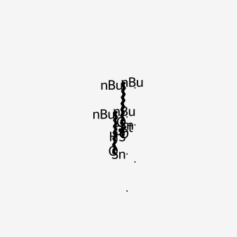 CCC(=O)OS.CCCCC(CCCC)CCCCCCCCCCC[O][Sn].CCCCC(CCCC)CCCCCCCCCCC[O][Sn]